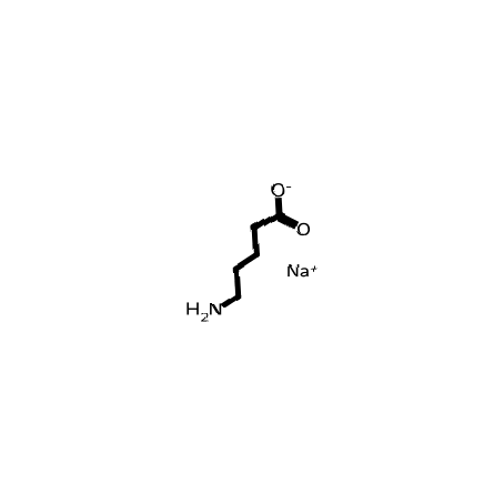 NCCCCC(=O)[O-].[Na+]